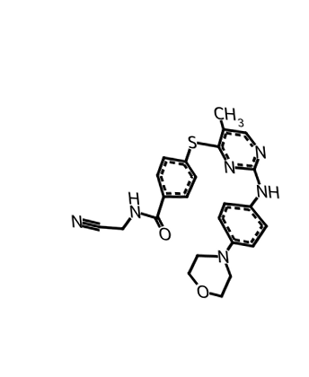 Cc1cnc(Nc2ccc(N3CCOCC3)cc2)nc1Sc1ccc(C(=O)NCC#N)cc1